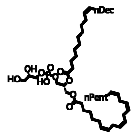 CCCCC/C=C\C/C=C\C/C=C\C/C=C\CCCCCC(=O)OC[C@H](COP(=O)(O)OC[C@@H](O)CO)OC(=O)CCCCCCCCC/C=C\CCCCCCCCCC